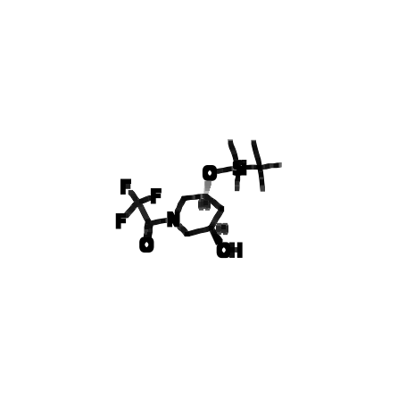 CC(C)(C)[Si](C)(C)O[C@@H]1C[C@@H](O)CN(C(=O)C(F)(F)F)C1